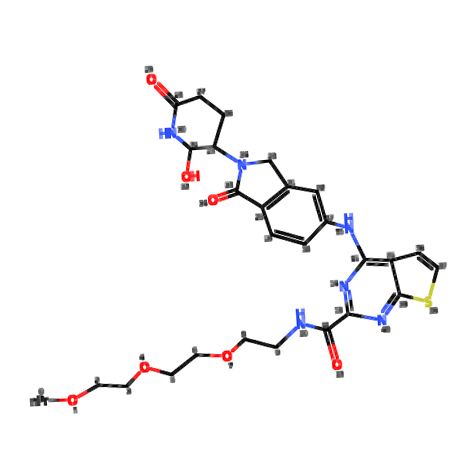 CCCOCCOCCOCCNC(=O)c1nc(Nc2ccc3c(c2)CN(C2CCC(=O)NC2O)C3=O)c2ccsc2n1